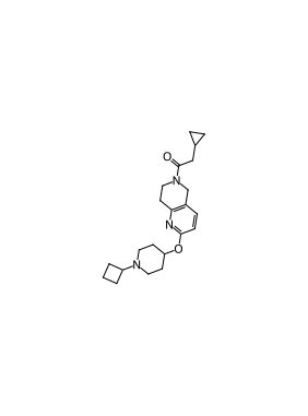 O=C(CC1CC1)N1CCc2nc(OC3CCN(C4CCC4)CC3)ccc2C1